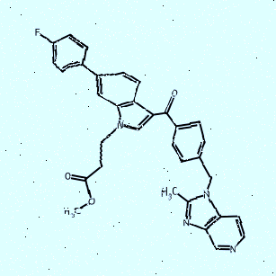 COC(=O)CCn1cc(C(=O)c2ccc(Cn3c(C)nc4cnccc43)cc2)c2ccc(-c3ccc(F)cc3)cc21